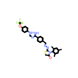 Cc1cc(C)c(N2C(=O)CS/C2=N\N=C\c2ccc(C(=N)/N=C\Nc3ccc(OC(F)(F)F)cc3)cc2)c(C)c1